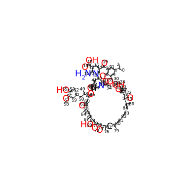 CC(C)c1ccc2oc3nc(N)c(C(=O)O)cc3c(=O)c2c1.CO[C@H]1C[C@@H]2CC[C@@H](C)[C@@](O)(O2)C(=O)C(=O)N2CCCC[C@H]2C(=O)O[C@H]([C@H](C)C[C@@H]2CC[C@@H](O)[C@H](OC)C2)CC(=O)[C@H](C)/C=C(\C)[C@@H](O)[C@@H](OC)C(=O)[C@H](C)C[C@H](C)/C=C/C=C/C=C/1C